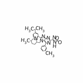 Cc1cccc(-c2nc(-c3noc(=O)[nH]3)nc3nc(-c4cc(C(C)C)ccn4)n(CC4CCC(C)CC4)c23)c1